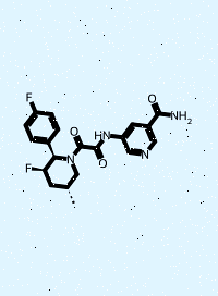 C[C@@H]1C[C@@H](F)[C@@H](c2ccc(F)cc2)N(C(=O)C(=O)Nc2cncc(C(N)=O)c2)C1